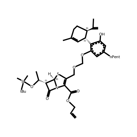 C=CCOC(=O)C1=C(COCOc2cc(CCCCC)cc(O)c2[C@@H]2C=C(C)CC[C@H]2C(=C)C)S[C@@H]2[C@@H](C(C)O[Si](C)(C)C(C)(C)C)C(=O)N12